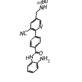 CC[C@@H](C)NCc1cnc(-c2ccc(C(=O)Nc3ccccc3N)cc2)c(C#N)c1